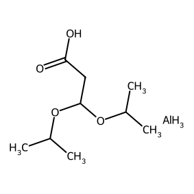 CC(C)OC(CC(=O)O)OC(C)C.[AlH3]